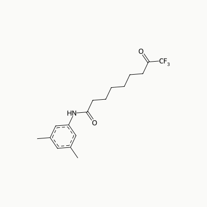 Cc1cc(C)cc(NC(=O)CCCCCCC(=O)C(F)(F)F)c1